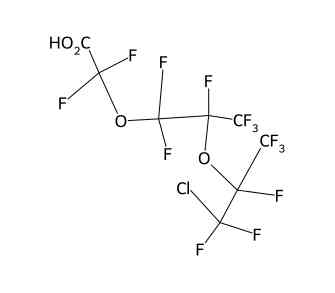 O=C(O)C(F)(F)OC(F)(F)C(F)(OC(F)(C(F)(F)F)C(F)(F)Cl)C(F)(F)F